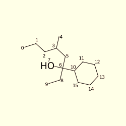 CCCC(C)CC(O)(CC)C1CCCCC1